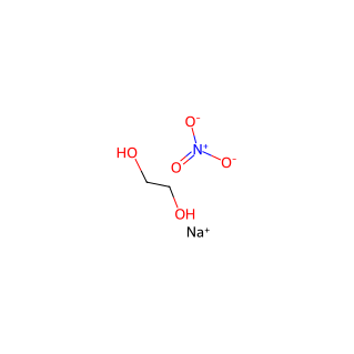 O=[N+]([O-])[O-].OCCO.[Na+]